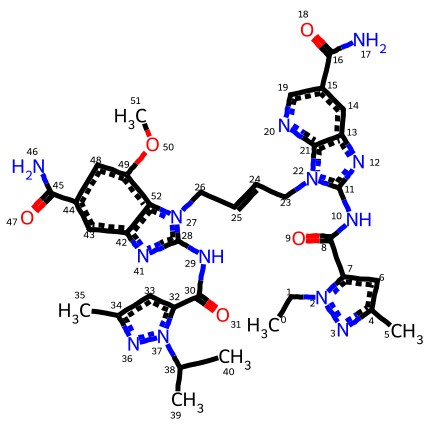 CCn1nc(C)cc1C(=O)Nc1nc2cc(C(N)=O)cnc2n1CC=CCn1c(NC(=O)c2cc(C)nn2C(C)C)nc2cc(C(N)=O)cc(OC)c21